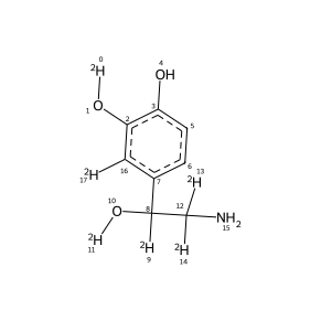 [2H]Oc1c(O)ccc(C([2H])(O[2H])C([2H])([2H])N)c1[2H]